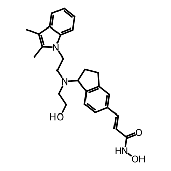 Cc1c(C)n(CCN(CCO)C2CCc3cc(C=CC(=O)NO)ccc32)c2ccccc12